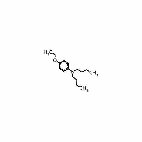 CCCCN(CCCC)c1ccc(OCC)cc1